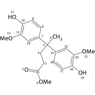 COC(=O)CCC(C)(c1ccc(O)c(OC)c1)c1ccc(O)c(OC)c1